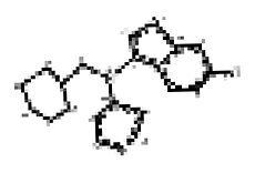 Clc1ccc2c(N(CC3CCCCC3)c3ccncc3)csc2c1